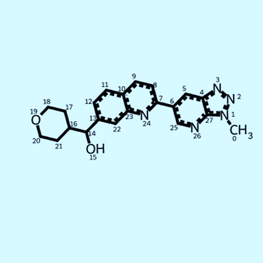 Cn1nnc2cc(-c3ccc4ccc(C(O)C5CCOCC5)cc4n3)cnc21